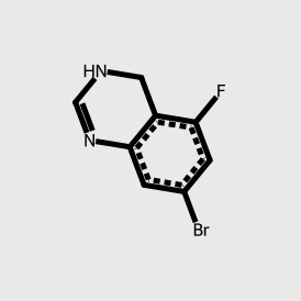 Fc1cc(Br)cc2c1CNC=N2